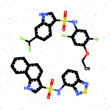 N#CCOc1cc(F)c(NS(=O)(=O)c2c[nH]c3cc(C(F)F)ccc23)cc1F.O=S(=O)(Nc1cccc2nsnc12)c1c[nH]c2c1ccc1ccccc12